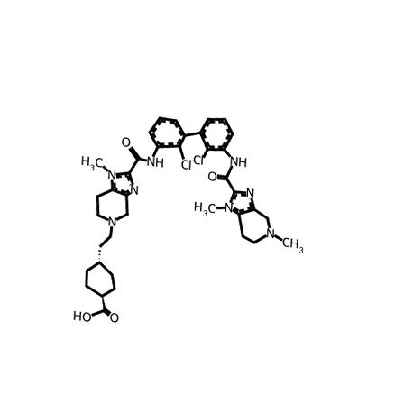 CN1CCc2c(nc(C(=O)Nc3cccc(-c4cccc(NC(=O)c5nc6c(n5C)CCN(CC[C@H]5CC[C@H](C(=O)O)CC5)C6)c4Cl)c3Cl)n2C)C1